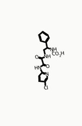 O=C(O)NC(CNC(=O)C(=O)Nc1ccc(Cl)cn1)c1ccccc1